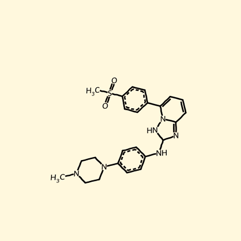 CN1CCN(c2ccc(NC3N=C4C=CC=C(c5ccc(S(C)(=O)=O)cc5)N4N3)cc2)CC1